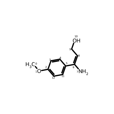 COc1ccc(/C(N)=C\CO)cc1